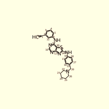 C#Cc1cccc(Nc2ncnc3nc(Nc4ccc(CN5CCCCC5)cc4)sc23)c1